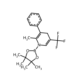 CC1=C(c2ccccc2)CC(C(F)(F)F)=CN1B1OC(C)(C)C(C)(C)O1